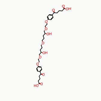 O=C(O)CCCC(=O)c1ccc(OCCOCC(O)CCCOCCCC(O)COCCOc2ccc(C(=O)CCCC(=O)O)cc2)cc1